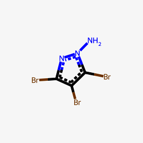 Nn1nc(Br)c(Br)c1Br